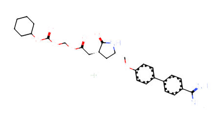 Cl.N=C(N)c1ccc(-c2ccc(OC[C@@H]3C[C@@H](CC(=O)OCOC(=O)OC4CCCCC4)C(=O)N3)cc2)cc1